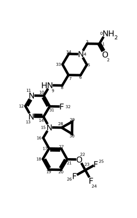 NC(=O)CN1CCC(CNc2ncnc(N(Cc3cccc(OC(F)(F)F)c3)C3CC3)c2F)CC1